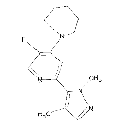 Cc1cnn(C)c1-c1cc(N2CCCCC2)c(F)cn1